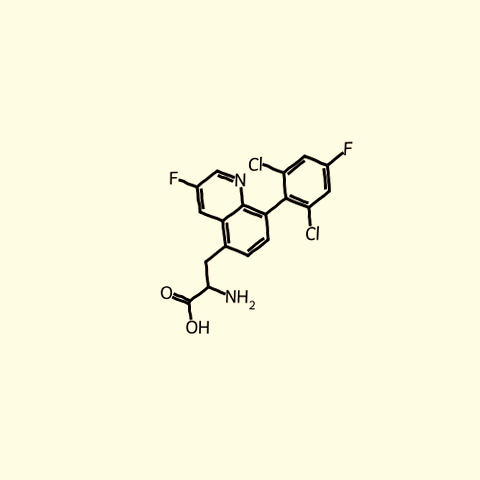 NC(Cc1ccc(-c2c(Cl)cc(F)cc2Cl)c2ncc(F)cc12)C(=O)O